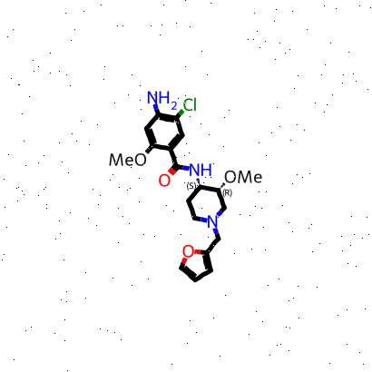 COc1cc(N)c(Cl)cc1C(=O)N[C@H]1CCN(Cc2ccco2)C[C@H]1OC